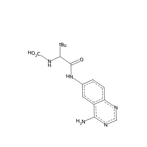 CC(C)(C)C(NC(=O)O)C(=O)Nc1ccc2ncnc(N)c2c1